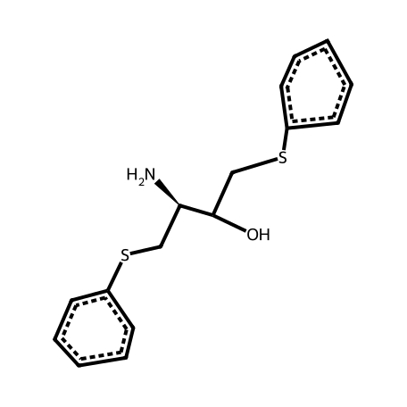 N[C@H](CSc1ccccc1)C(O)CSc1ccccc1